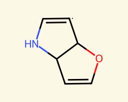 [C]1=CNC2C=COC12